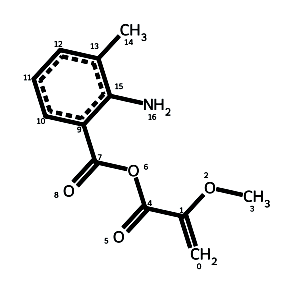 C=C(OC)C(=O)OC(=O)c1cccc(C)c1N